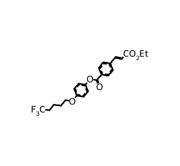 CCOC(=O)/C=C/c1ccc(C(=O)Oc2ccc(OCCCCC(F)(F)F)cc2)cc1